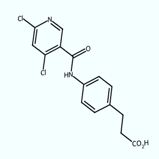 O=C(O)CCc1ccc(NC(=O)c2cnc(Cl)cc2Cl)cc1